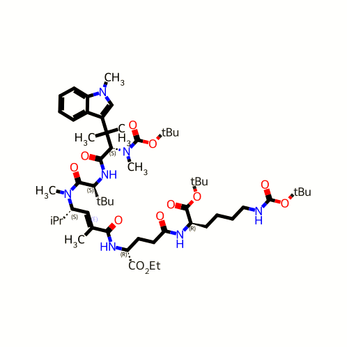 CCOC(=O)[C@@H](CCC(=O)N[C@H](CCCCNC(=O)OC(C)(C)C)C(=O)OC(C)(C)C)NC(=O)/C(C)=C/[C@H](C(C)C)N(C)C(=O)[C@@H](NC(=O)[C@@H](N(C)C(=O)OC(C)(C)C)C(C)(C)c1cn(C)c2ccccc12)C(C)(C)C